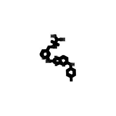 CC1=CCC(Nc2ccc3nc(Nc4cc(CNC(C)(C)C(O)O)ccn4)sc3n2)C=C1